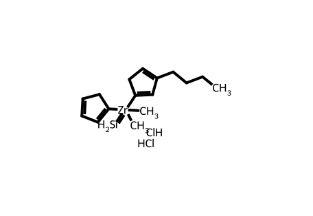 CCCCC1=CC[C]([Zr]([CH3])([CH3])(=[SiH2])[C]2=CC=CC2)=C1.Cl.Cl